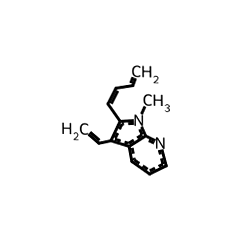 C=C/C=C\c1c(C=C)c2cccnc2n1C